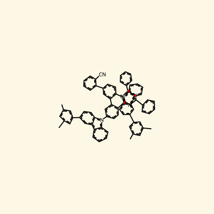 Cc1cc(C)cc(-c2ccc3c(c2)c2ccccc2n3-c2ccc(-c3nc(-c4ccccc4)nc(-c4ccccc4)n3)c(-c3cc(-c4ccccc4C#N)ccc3-n3c4ccccc4c4cc(-c5cc(C)cc(C)c5)ccc43)c2)c1